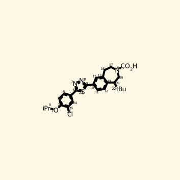 CC(C)Oc1ccc(-c2nnc(-c3ccc4c(c3)CCN(C(=O)O)CC4C(C)(C)C)s2)cc1Cl